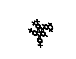 Cc1cc2c3c(c1)N(c1cc4c(cc1C)C(C)(C)CCC4(C)C)c1cc4c(cc1B3c1cc(C(C)(C)C)ccc1N2c1ccc(C(C)(C)C)cc1)C(C)(C)CC4(C)C